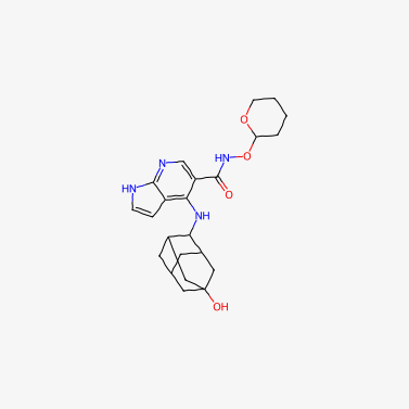 O=C(NOC1CCCCO1)c1cnc2[nH]ccc2c1NC1C2CC3CC1CC(O)(C3)C2